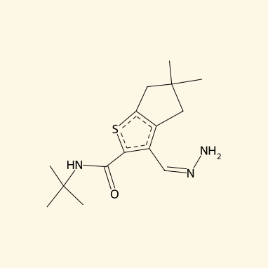 CC1(C)Cc2sc(C(=O)NC(C)(C)C)c(/C=N\N)c2C1